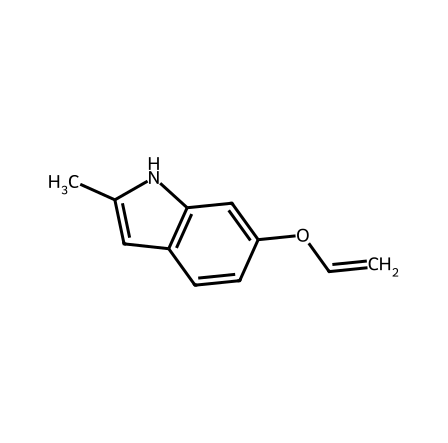 C=COc1ccc2cc(C)[nH]c2c1